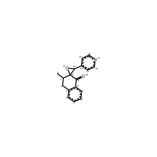 CC1Cc2ccccc2C(=O)C12OC2c1ccncc1